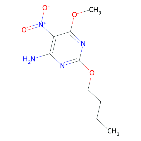 CCCCOc1nc(N)c([N+](=O)[O-])c(OC)n1